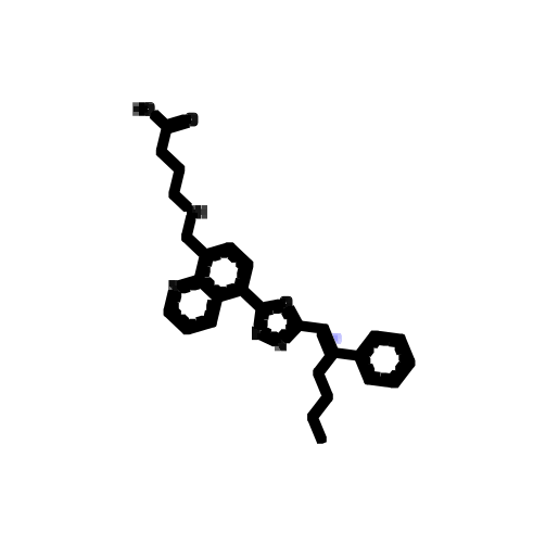 CCCC/C(=C\c1nnc(-c2ccc(CNCCCC(=O)O)c3ncccc23)o1)c1ccccc1